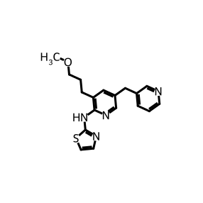 COCCCc1cc(Cc2cccnc2)cnc1Nc1nccs1